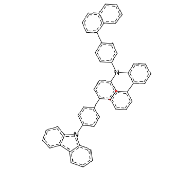 c1ccc(-c2ccccc2N(c2ccc(-c3ccc(-n4c5ccccc5c5ccccc54)cc3)cc2)c2ccc(-c3cccc4ccccc34)cc2)cc1